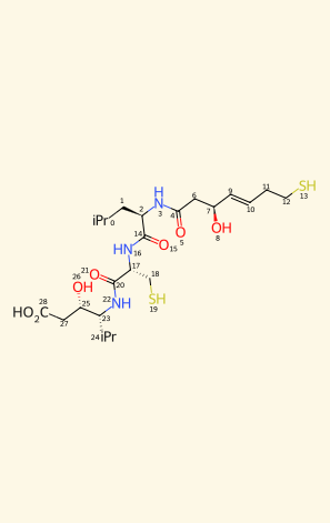 CC(C)C[C@@H](NC(=O)C[C@H](O)/C=C/CCS)C(=O)N[C@H](CS)C(=O)N[C@H](C(C)C)[C@@H](O)CC(=O)O